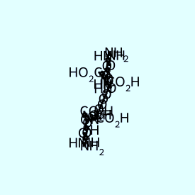 N=C(N)Nc1ccc(C(=O)Oc2ccc(COC(=O)N(CC(=O)N[C@@H](CC(=O)O)C(=O)NCCOCCOCCOCCOCCNC(=O)[C@H](CC(=O)O)NC(=O)CN(Cc3cccc(C(=O)O)c3)C(=O)OCc3ccc(OC(=O)c4ccc(NC(=N)N)cc4)cc3)Cc3cccc(C(=O)O)c3)cc2)cc1